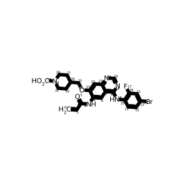 C=CC(=O)Nc1cc2c(Nc3ccc(Br)cc3F)ncnc2cc1OCC1CCN(C(=O)O)CC1